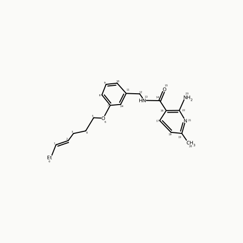 CCC=CCCCOc1cccc(CNC(=O)c2ccc(C)nc2N)c1